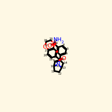 NC(=O)c1cccc(C2=CC3CCC(C2)N3C(=O)c2ccc3c(c2)OCCO3)c1